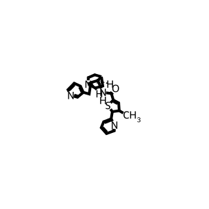 CC1C=C(C(=O)N[C@@H]2C3CCN(CC3)[C@H]2Cc2cccnc2)SC1c1ccccn1